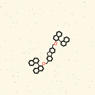 c1ccc2c(-c3c(OCc4ccc5c(c4)Cc4cc(COc6ccc7ccccc7c6-c6cccc7ccccc67)ccc4-5)ccc4ccccc34)cccc2c1